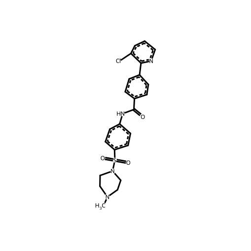 CN1CCN(S(=O)(=O)c2ccc(NC(=O)c3ccc(-c4ncccc4Cl)cc3)cc2)CC1